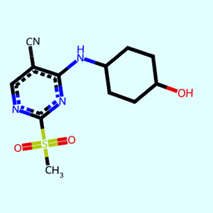 CS(=O)(=O)c1ncc(C#N)c(NC2CCC(O)CC2)n1